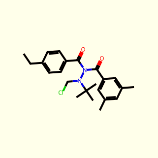 CCc1ccc(C(=O)N(C(=O)c2cc(C)cc(C)c2)N(CCl)C(C)(C)C)cc1